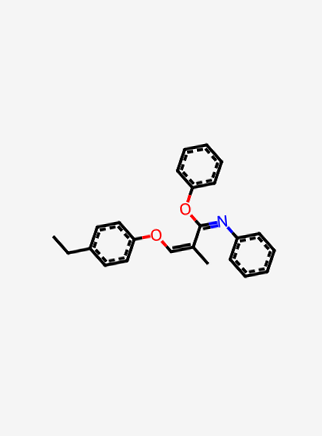 CCc1ccc(OC=C(C)C(=Nc2ccccc2)Oc2ccccc2)cc1